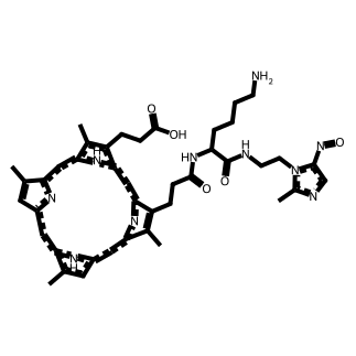 CC1=Cc2cc3[nH]c(cc4nc(cc5[nH]c(cc1n2)c(C)c5CCC(=O)O)C(CCC(=O)NC(CCCCN)C(=O)NCCn1c(N=O)cnc1C)=C4C)cc3C